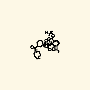 CC[N+]1(CC(=O)Nc2c(C)cccc2C(=O)OC)CCCC(C(=O)N2CCCCCC2)C1